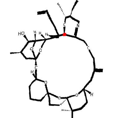 C=CC1=C[C@@H]2[C@@H]3O[C@]4(C[C@H]5CCC[C@@]6(CC[C@@]7(O[C@@H](CC[C@@]7(C)O)CC(=C)CCCC7=NC[C@H](C)[C@@H](C)C[C@@]72CC1)O6)O5)C[C@@H](C)[C@@H](O)[C@H]3O4